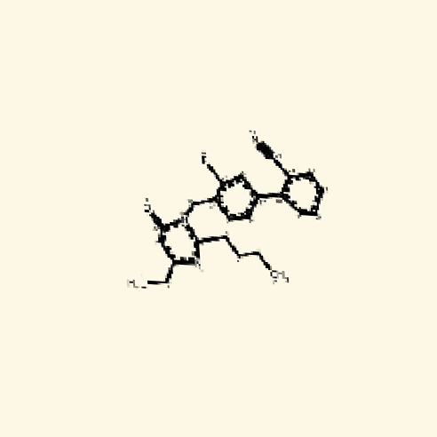 CCCCc1nc(CC)cc(=O)n1Cc1ccc(-c2ccccc2C#N)cc1F